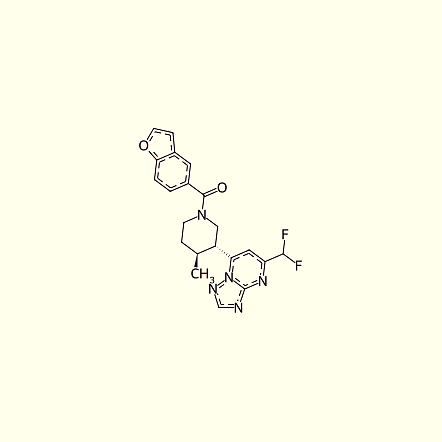 C[C@H]1CCN(C(=O)c2ccc3occc3c2)C[C@@H]1c1cc(C(F)F)nc2ncnn12